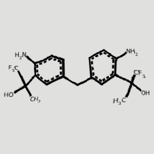 CC(O)(c1cc(Cc2ccc(N)c(C(C)(O)C(F)(F)F)c2)ccc1N)C(F)(F)F